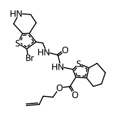 C=CCCOC(=O)c1c(NC(=O)NCc2c(Br)sc3c2CCNC3)sc2c1CCCC2